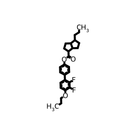 CCCOc1ccc(-c2ccc(OC(=O)C3CCC4C(CCC)CCC34)cc2)c(F)c1F